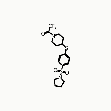 O=C(N1CCC(Sc2ccc(S(=O)(=O)N3CCCC3)cc2)CC1)C(F)(F)F